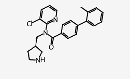 Cc1ccccc1-c1ccc(C(=O)N(C[C@@H]2CCNC2)c2ncccc2Cl)cc1